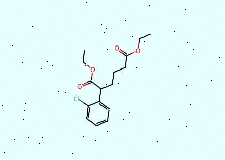 CCOC(=O)CCCC(C(=O)OCC)c1ccccc1Cl